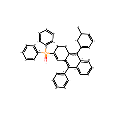 CC1C=CC=C(c2c3c(c(-c4ccccc4)c4ccccc24)C=C(P(=O)(c2ccccc2)c2ccccc2)CC3)C1